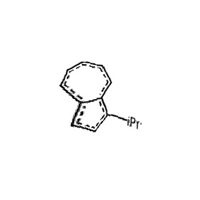 C[C](C)c1ccc2cccccc1-2